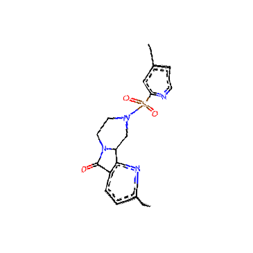 Cc1ccnc(S(=O)(=O)N2CCN3C(=O)c4ccc(C)nc4C3C2)c1